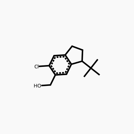 CC(C)(C)C1CCc2cc(Cl)c(CO)cc21